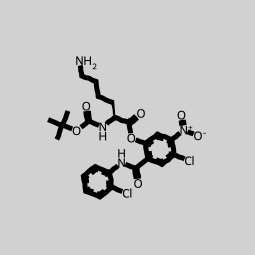 CC(C)(C)OC(=O)N[C@@H](CCCCN)C(=O)Oc1cc([N+](=O)[O-])c(Cl)cc1C(=O)Nc1ccccc1Cl